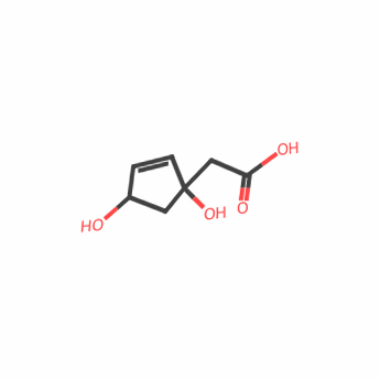 O=C(O)CC1(O)C=CC(O)C1